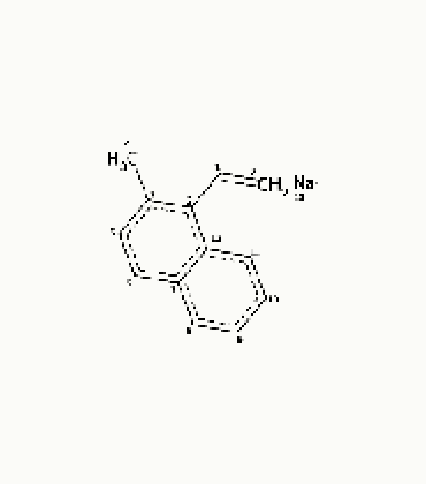 C=Cc1c(C)ccc2ccccc12.[Na]